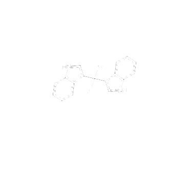 CC(=O)C(C)(c1c[nH]c2ccccc12)c1c[nH]c2ccccc12